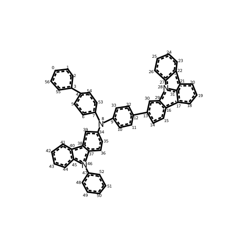 c1ccc(-c2ccc(N(c3ccc(-c4ccc5c6cccc7c8ccccc8n(c5c4)c76)cc3)c3ccc4c(c3)c3ccccc3n4-c3ccccc3)cc2)cc1